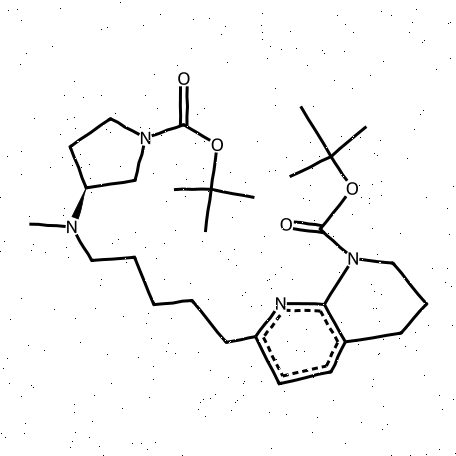 CN(CCCCCc1ccc2c(n1)N(C(=O)OC(C)(C)C)CCC2)[C@H]1CCN(C(=O)OC(C)(C)C)C1